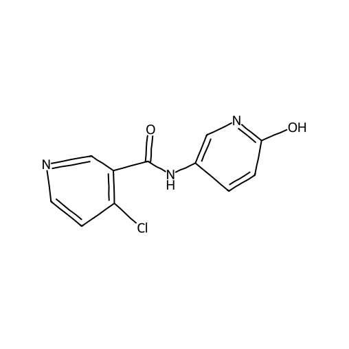 O=C(Nc1ccc(O)nc1)c1cnccc1Cl